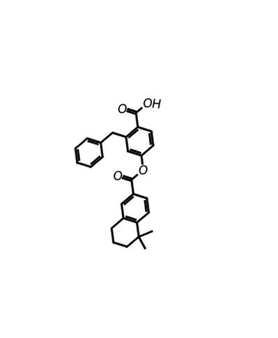 CC1(C)CCCc2cc(C(=O)Oc3ccc(C(=O)O)c(Cc4ccccc4)c3)ccc21